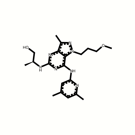 COCCCn1nc(C)c2nc(N[C@@H](C)CO)nc(Nc3cc(C)cc(C)n3)c21